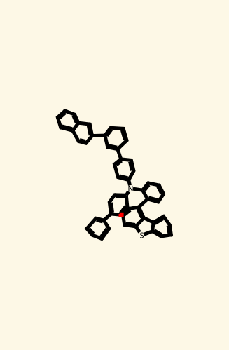 c1ccc(-c2ccc(N(c3ccc(-c4cccc(-c5ccc6ccccc6c5)c4)cc3)c3ccccc3-c3cccc4sc5ccccc5c34)cc2)cc1